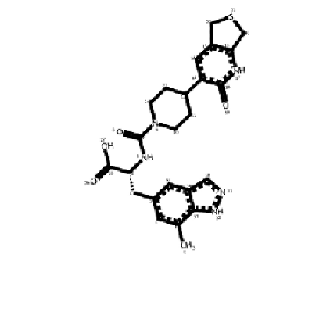 Cc1cc(C[C@@H](NC(=O)N2CCC(c3cc4c([nH]c3=O)CSC4)CC2)C(=O)O)cc2cn[nH]c12